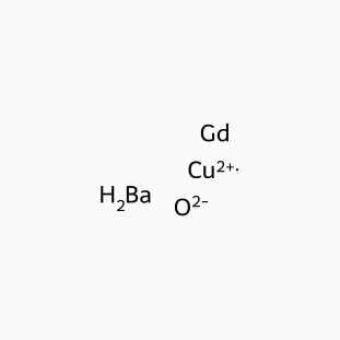 [BaH2].[Cu+2].[Gd].[O-2]